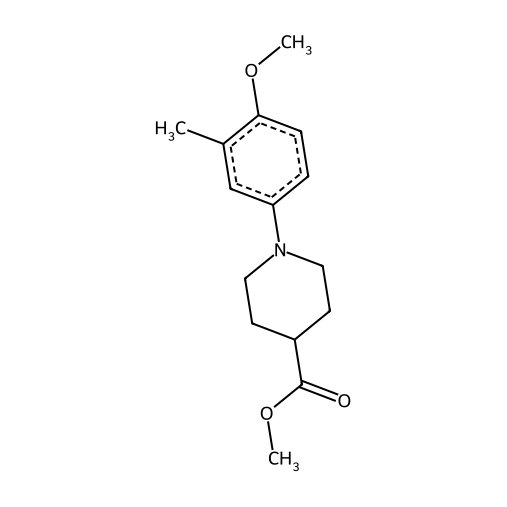 COC(=O)C1CCN(c2ccc(OC)c(C)c2)CC1